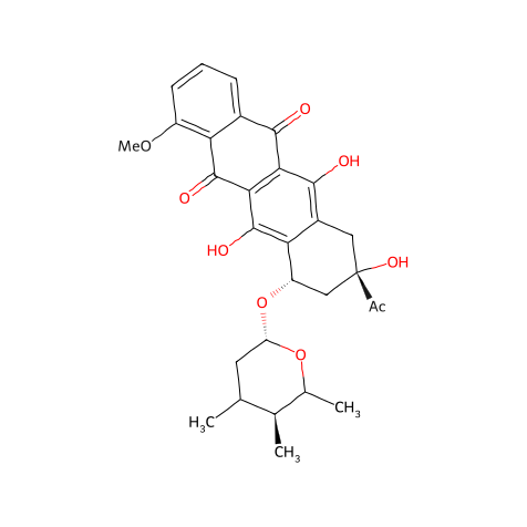 COc1cccc2c1C(=O)c1c(O)c3c(c(O)c1C2=O)C[C@@](O)(C(C)=O)C[C@@H]3O[C@H]1CC(C)[C@H](C)C(C)O1